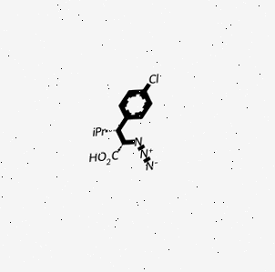 CC(C)[C@H](c1ccc(Cl)cc1)[C@H](N=[N+]=[N-])C(=O)O